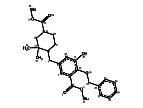 CC(C)(C)OC(=O)c1nc(CC2CCN(C(=O)OC(C)(C)C)CC2(C)C)nc(O)c1OCc1ccccc1